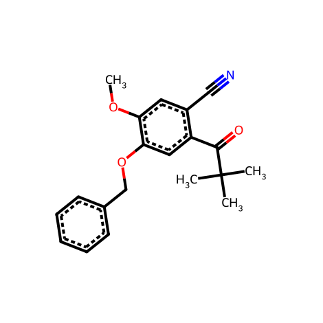 COc1cc(C#N)c(C(=O)C(C)(C)C)cc1OCc1ccccc1